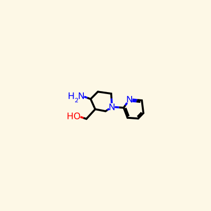 NC1CCN(c2ccccn2)CC1CO